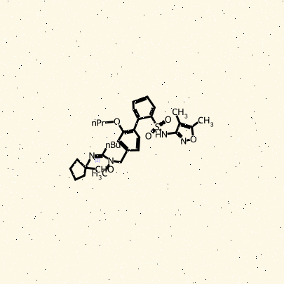 CCCC/C(=N/C1(C=O)CCCC1)N(C)Cc1ccc(-c2ccccc2S(=O)(=O)Nc2noc(C)c2C)c(OCCC)c1